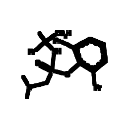 CC(C)c1cccc(C(C)C)c1OP(=O)(CN(C)C)NC(C)(C(=O)O)C(C)C